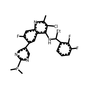 CCC(Nc1c(Cl)c(C)nc2cc(F)c(-c3cnc(P(C)C)nc3)cc12)c1cccc(F)c1F